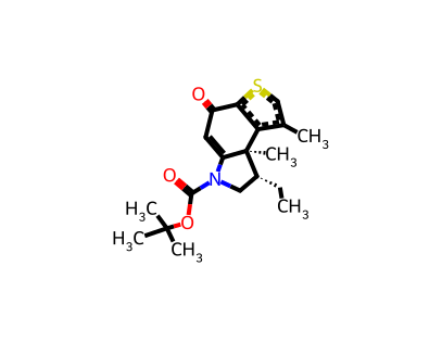 CC[C@@H]1CN(C(=O)OC(C)(C)C)C2=CC(=O)c3scc(C)c3[C@]21C